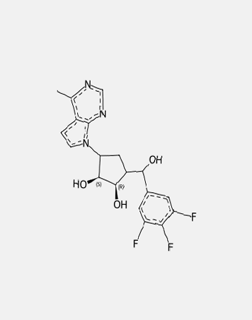 Cc1ncnc2c1ccn2C1CC(C(O)c2cc(F)c(F)c(F)c2)[C@@H](O)[C@H]1O